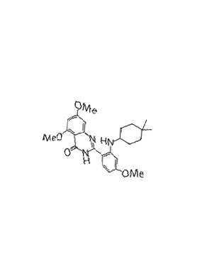 COc1ccc(-c2nc3cc(OC)cc(OC)c3c(=O)[nH]2)c(NC2CCC(C)(C)CC2)c1